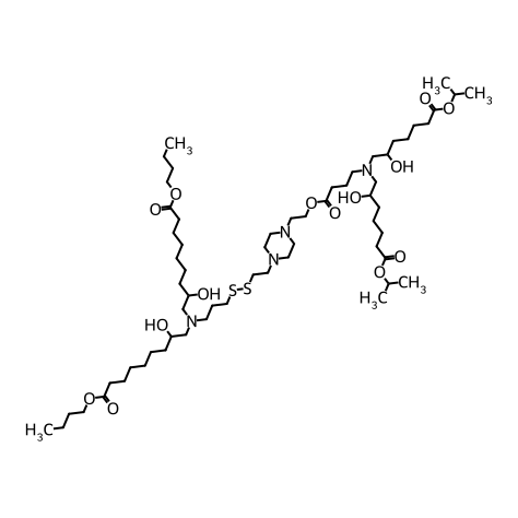 CCCCOC(=O)CCCCCCC(O)CN(CCCSSCCN1CCN(CCOC(=O)CCCN(CC(O)CCCCC(=O)OC(C)C)CC(O)CCCCC(=O)OC(C)C)CC1)CC(O)CCCCCCC(=O)OCCCC